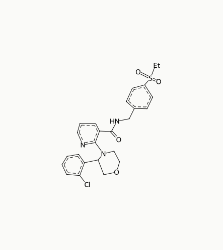 CCS(=O)(=O)c1ccc(CNC(=O)c2cccnc2N2CCOCC2c2ccccc2Cl)cc1